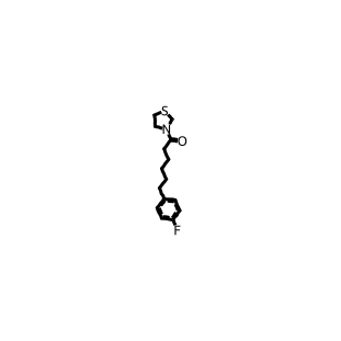 O=C(CCCCCc1ccc(F)cc1)N1CCSC1